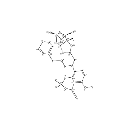 COc1ccc(C(COCc2ccccc2)CB2OC3C[C@@H]4C[C@@H](C4(C)C)[C@]3(C)O2)c2c1C(=O)OC(C)(C)O2